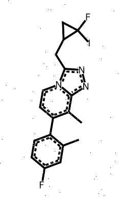 Cc1cc(F)ccc1-c1ccn2c(CC3CC3(F)I)nnc2c1C